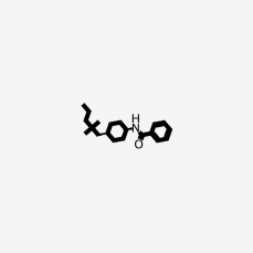 CCCC(C)(C)C[C@H]1CC[C@@H](NC(=O)c2ccccc2)CC1